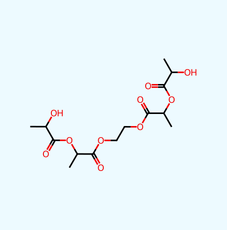 CC(O)C(=O)OC(C)C(=O)OCCOC(=O)C(C)OC(=O)C(C)O